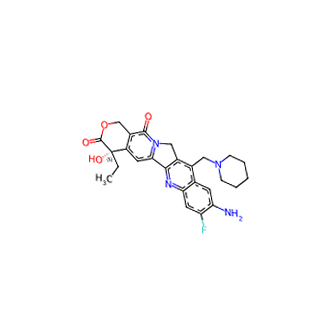 CC[C@@]1(O)C(=O)OCc2c1cc1n(c2=O)Cc2c-1nc1cc(F)c(N)cc1c2CN1CCCCC1